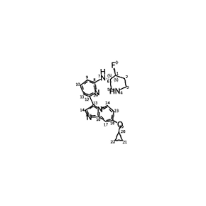 F[C@H]1CCNC[C@@H]1Nc1cccc(-c2cnc3cc(OC4CC4)ccn23)n1